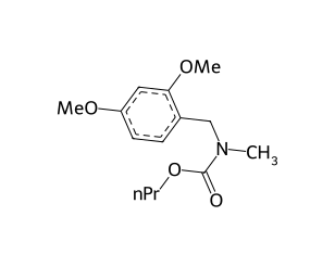 CCCOC(=O)N(C)Cc1ccc(OC)cc1OC